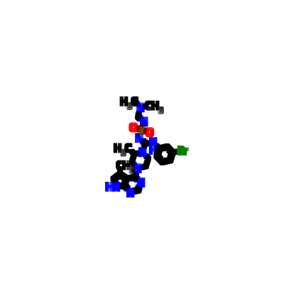 Cc1c[nH]c2ncnc(N3CCN(C(=NS(=O)(=O)N=CN(C)C)Nc4cccc(Br)c4)C(C)C3)c12